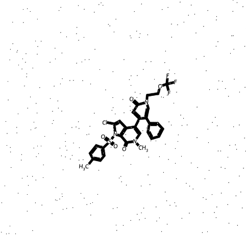 Cc1ccc(S(=O)(=O)n2c(Cl)cc3c(-c4cc(=O)n(CCOC(F)(F)F)cc4-c4ccccc4)cn(C)c(=O)c32)cc1